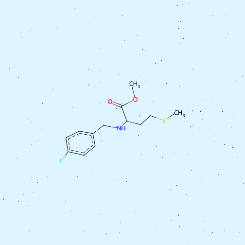 COC(=O)C(CCSC)NCc1ccc(F)cc1